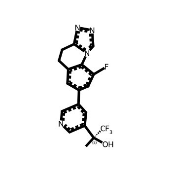 C[C@](O)(c1cncc(-c2cc(F)c3c(c2)CCc2nncn2-3)c1)C(F)(F)F